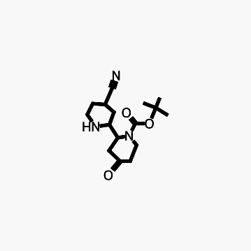 CC(C)(C)OC(=O)N1CCC(=O)CC1C1CC(C#N)CCN1